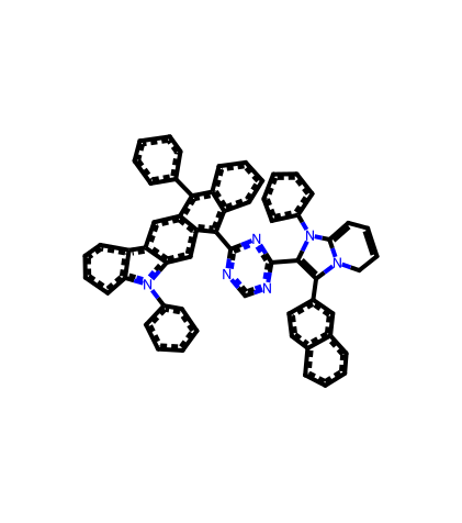 C1=CCN2C(=C1)N(c1ccccc1)C(c1ncnc(-c3c4ccccc4c(-c4ccccc4)c4cc5c6ccccc6n(-c6ccccc6)c5cc34)n1)=C2c1ccc2ccccc2c1